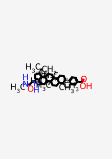 CNC(=O)CN[C@]12CC[C@@H](C(C)C)C1[C@H]1CCC3[C@@]4(C)CC[C@H](c5ccc(C(=O)O)cc5)C(C)(C)C4CC[C@@]3(C)[C@]1(C)CC2